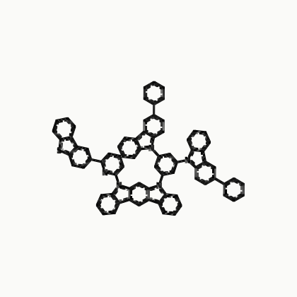 c1ccc(-c2ccc3c(c2)c2ccccc2n3-c2cc(-n3c4ccccc4c4cc(-c5ccccc5)ccc43)cc(-n3c4ccccc4c4cc5c6ccccc6n(-c6cccc(-c7ccc8sc9ccccc9c8c7)n6)c5cc43)c2)cc1